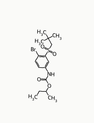 CCC(C)OC(=O)Nc1ccc(Br)c(S(=O)(=O)CC(C)(C)C)c1